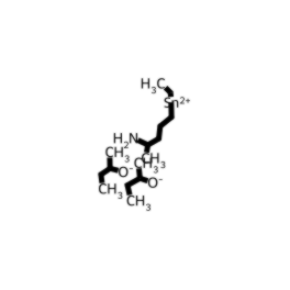 CCC(C)[O-].CCC(C)[O-].C[CH2][Sn+2][CH2]CCC(C)N